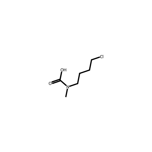 CN(CCCCCl)C(=O)O